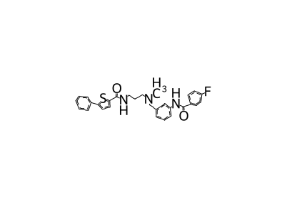 CN(CCCNC(=O)c1ccc(-c2ccccc2)s1)Cc1cccc(NC(=O)c2ccc(F)cc2)c1